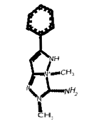 CN1N=C2C=C(c3ccccc3)N[N+]2(C)C1N